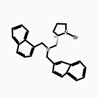 BrN1CCC[C@H]1CN(Cc1ccc2ccccc2c1)Cc1cccc2ccccc12